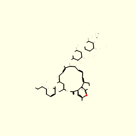 CC[C@H](C)[C@H]1O[C@]2(C=C[C@@H]1C)C[C@@H]1C[C@@H](C/C=C(\C)[C@@H](OC3C[C@H](OC)C([C@H]4C[C@H](OC)[C@H](ONC)[C@H](C)O4)[C@H](C)O3)[C@@H](C)/C=C/C=C3\CO[C@@H]4[C@H](O)C(C)=C[C@@H](C(=O)O1)[C@]34O)O2